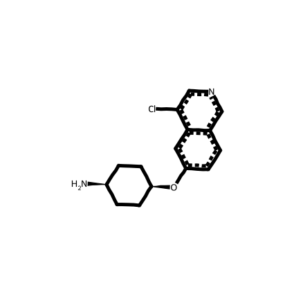 N[C@H]1CC[C@@H](Oc2ccc3cncc(Cl)c3c2)CC1